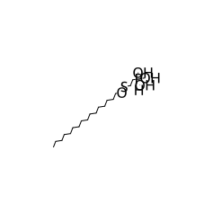 CCCCCCCCCCCCCCCCOSCC[PH](O)(O)O